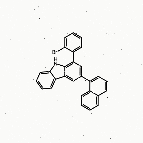 Brc1ccccc1-c1cc(-c2cccc3ccccc23)cc2c1[nH]c1ccccc12